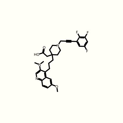 COc1ccc2ncc(N(C)C)c(CCCC3(CC(=O)O)CCN(CC#Cc4cc(F)cc(F)c4F)CC3)c2c1